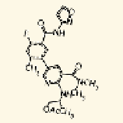 CC(=O)OC[C@H](C)Nc1ncc(-c2cc(C(=O)Nc3ccon3)c(F)cc2C)cc1C(=O)N(C)C